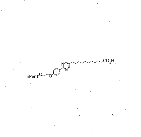 CCCCCOCCOc1ccc(-c2ncc(CCCCCCCCCCC(=O)O)cn2)cc1